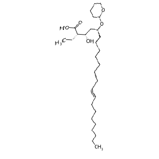 CCCCCCCCC=CCCCCCCC[C@@H](C[C@H](O)[C@H](CC)C(=O)O)OC1CCCCO1